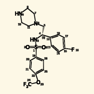 O=S(=O)(N[C@H](CN1CCNCC1)c1ccc(F)cc1)c1ccc(OC(F)(F)F)cc1